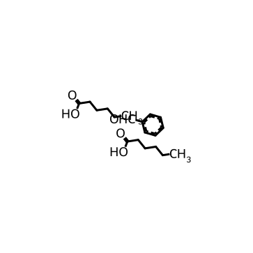 CCCCCC(=O)O.CCCCCC(=O)O.O=Cc1ccccc1